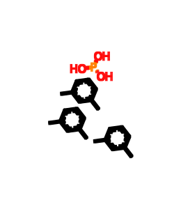 Cc1cccc(C)c1.Cc1cccc(C)c1.Cc1cccc(C)c1.OP(O)O